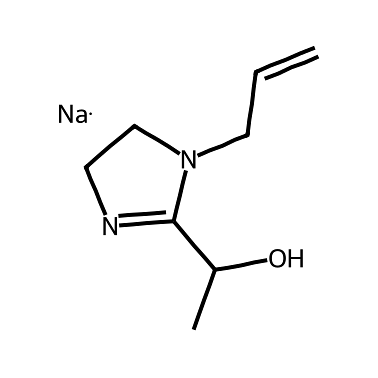 C=CCN1CCN=C1C(C)O.[Na]